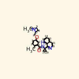 Cc1ccc(OCC2CCN2C)cc1C(=O)NC1(c2nccc3ccccc23)CC1